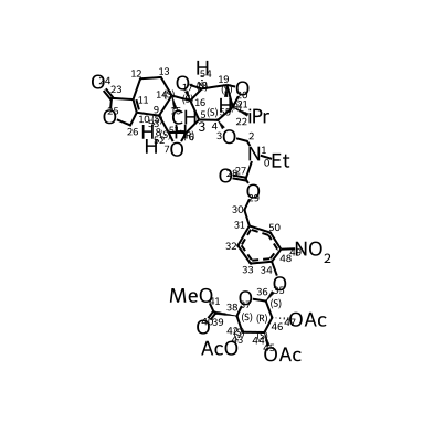 CCN(CO[C@H]1C2[C@H]3O[C@H]3[C@H]3C4=C(CC[C@]3(C)[C@@]23O[C@H]3[C@@H]2O[C@]12C(C)C)C(=O)OC4)C(=O)OCc1ccc(O[C@@H]2O[C@H](C(=O)OC)[C@@H](OC(C)=O)[C@H](OC(C)=O)[C@H]2OC(C)=O)c([N+](=O)[O-])c1